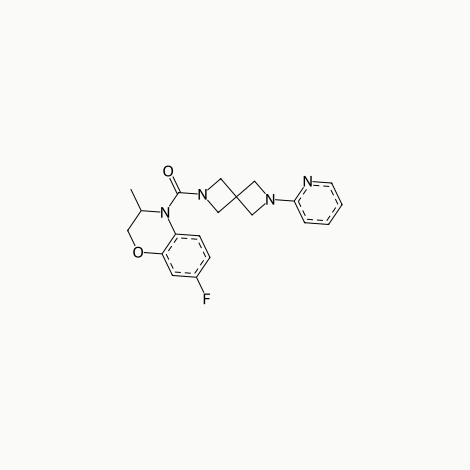 CC1COc2cc(F)ccc2N1C(=O)N1CC2(C1)CN(c1ccccn1)C2